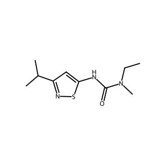 CCN(C)C(=O)Nc1cc(C(C)C)ns1